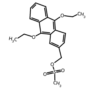 CCOc1c2ccccc2c(OCC)c2cc(COS(C)(=O)=O)ccc12